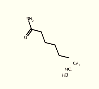 C.CCCCCC(N)=O.Cl.Cl